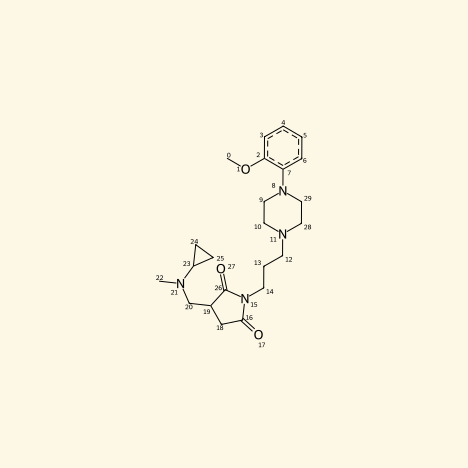 COc1ccccc1N1CCN(CCCN2C(=O)CC(CN(C)C3CC3)C2=O)CC1